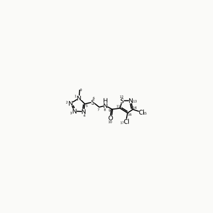 Cn1nnnc1SCNC(=O)c1snc(Cl)c1Cl